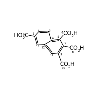 O=C(O)c1ccc2c(C(=O)O)c(C(=O)O)c(C(=O)O)cc2c1